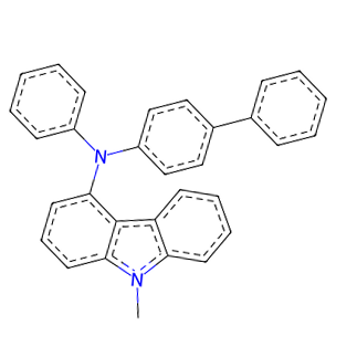 Cn1c2ccccc2c2c(N(c3ccccc3)c3ccc(-c4ccccc4)cc3)cccc21